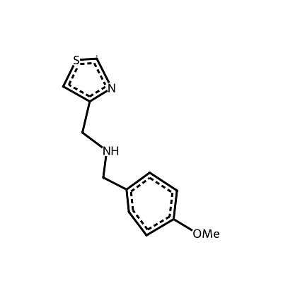 COc1ccc(CNCc2cs[c]n2)cc1